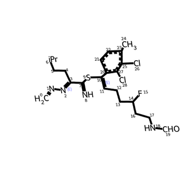 C=N/N=C(\CCC(C)C)C(=N)S/C(=C/CCC(F)CCNC=O)c1ccc(C)c(Cl)c1Cl